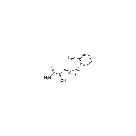 NC(=O)N(O)C[C@@H]1C[C@H]1c1ccccc1C(F)(F)F